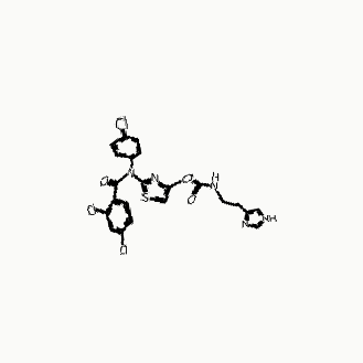 O=C(NCCc1c[nH]cn1)Oc1csc(N(C(=O)c2ccc(Cl)cc2Cl)c2ccc(Cl)cc2)n1